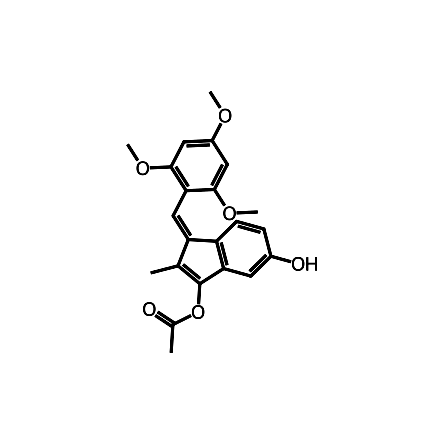 COc1cc(OC)c(C=C2C(C)=C(OC(C)=O)c3cc(O)ccc32)c(OC)c1